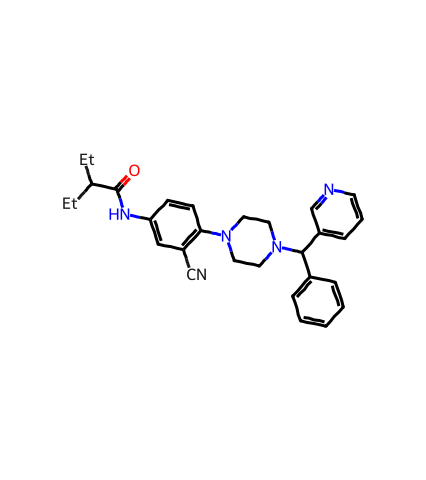 CCC(CC)C(=O)Nc1ccc(N2CCN(C(c3ccccc3)c3cccnc3)CC2)c(C#N)c1